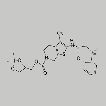 C[C@@H](CC(=O)Nc1sc2c(c1C#N)CCN(C(=O)OCC1COC(C)(C)O1)C2)c1ccccc1